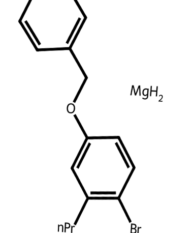 CCCc1cc(OCc2ccccc2)ccc1Br.[MgH2]